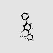 Cc1nc(-c2ccccc2)ccc1C1CCCN1C